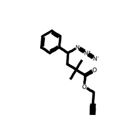 C#CCOC(=O)C(C)(C)CC(N=[N+]=[N-])c1ccccc1